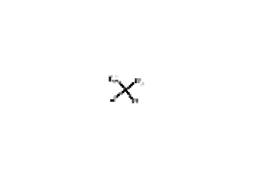 CCC(Cl)(C(F)(F)F)C(F)(F)F